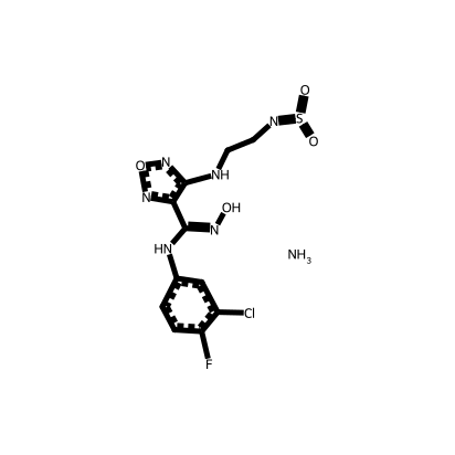 N.O=S(=O)=NCCNc1nonc1C(=NO)Nc1ccc(F)c(Cl)c1